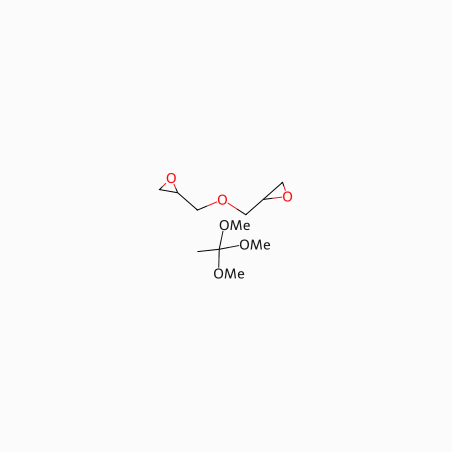 C(OCC1CO1)C1CO1.COC(C)(OC)OC